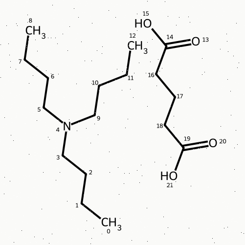 CCCCN(CCCC)CCCC.O=C(O)CCCC(=O)O